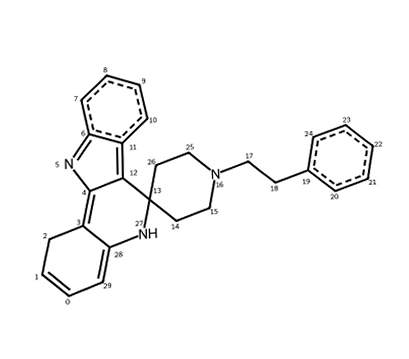 C1=CCC2=C3N=c4ccccc4=C3C3(CCN(CCc4ccccc4)CC3)NC2=C1